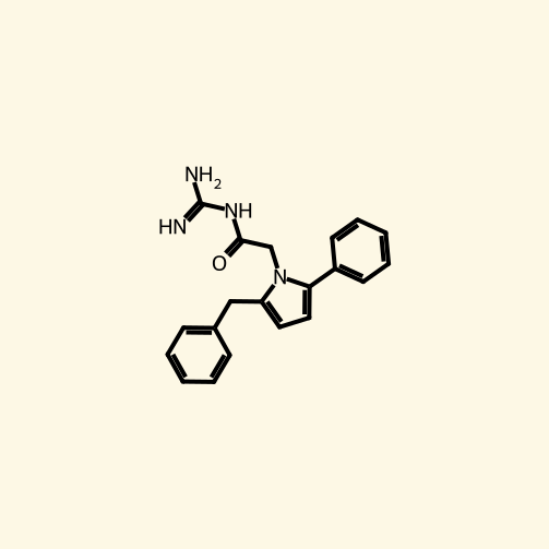 N=C(N)NC(=O)Cn1c(Cc2ccccc2)ccc1-c1ccccc1